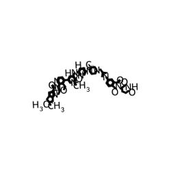 C[C@H]1CN(CC2CN(c3ccc4c(c3)C(=O)N(C3CCC(=O)NC3=O)C4=O)C2)CCN1c1ccc(Nc2cc(-c3ccnc(N4CCn5c(cc6c5CC(C)(C)C6)C4=O)c3CO)cn(C)c2=O)nc1